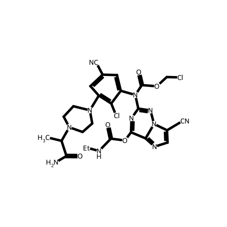 CCNC(=O)Oc1nc(N(C(=O)OCCl)c2cc(C#N)cc(N3CCN(C(C)C(N)=O)CC3)c2Cl)nn2c(C#N)cnc12